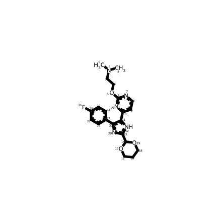 CN(C)CCOc1nccc(-c2[nH]c(C3OCCCO3)nc2-c2ccc(F)cc2)n1